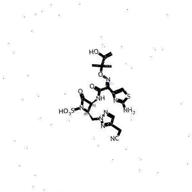 C=C(O)C(C)(C)O/N=C(\C(=O)N[C@@H]1C(=O)N(S(=O)(=O)O)[C@@H]1Cn1ncc(CC#N)n1)c1csc(N)n1